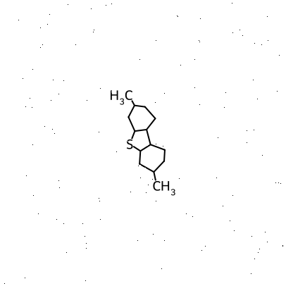 CC1CCC2C(C1)SC1CC(C)CCC12